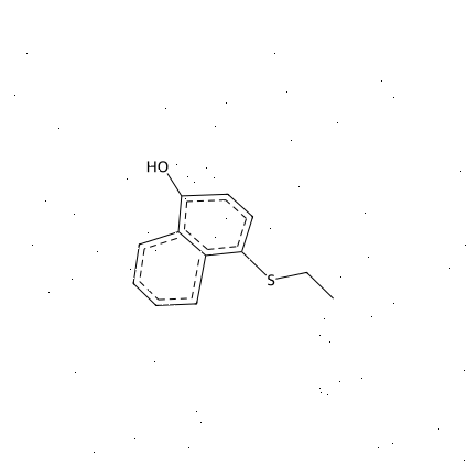 CCSc1ccc(O)c2ccccc12